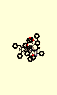 C=C1/C=C\C(C)=C(\N(c2ccccc2)c2c(C)ccc3c4ccccc4n(C(N)N/C(=N\Cc4ccccc4)c4ccccc4)c23)CN(c2ccccc2)c2c1ccc1c3ccccc3n(-c3cccc(/C(N)=N/C4=C(Cc5ccccc5)N=C(c5ccccc5)NC4)c3)c21